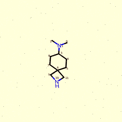 CN(C)C1CCC2(CC1)CNC2